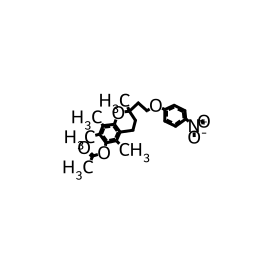 CC(=O)Oc1c(C)c(C)c2c(c1C)CCC(C)(CCOc1ccc([N+](=O)[O-])cc1)O2